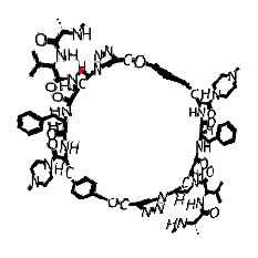 CN[C@@H](C)C(=O)N[C@H](C(=O)N1C[C@@H]2C[C@H]1C(=O)N[C@@H](Cc1ccccc1)C(=O)N[C@H](C(=O)N1CCN(C)CC1)Cc1ccc(cc1)OCc1cn(nn1)[C@H]1C[C@@H](C(=O)N[C@@H](Cc3ccccc3)C(=O)N[C@H](C(=O)N3CCN(C)CC3)Cc3ccc(cc3)OCc3cn2nn3)N(C(=O)[C@@H](NC(=O)[C@H](C)NC)C(C)C)C1)C(C)C